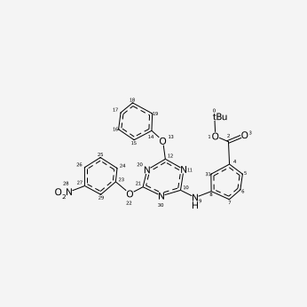 CC(C)(C)OC(=O)c1cccc(Nc2nc(Oc3ccccc3)nc(Oc3cccc([N+](=O)[O-])c3)n2)c1